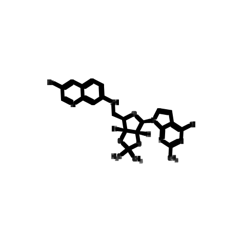 Cc1nc(Cl)c2ccn([C@@H]3O[C@H](CNc4ccc5cc(Br)cnc5c4)[C@H]4OC(C)(C)O[C@H]43)c2n1